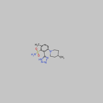 Cc1ccc(N2CCC(C)CC2)c(-c2nnn[nH]2)c1S(N)(=O)=O